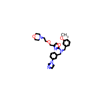 COc1cccc(CN(Cc2cccc(-n3ccnc3)c2)c2nc(COCCN3CCOCC3)co2)c1